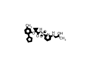 Cc1ccc(C2CCCC2)c(OC2(C(=O)NS(=O)(=O)c3cccc(NC[C@H](C)O)n3)CC2)c1